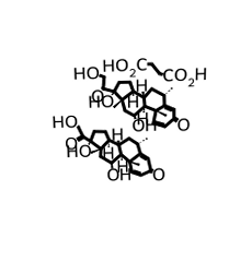 C[C@H]1C[C@@H]2[C@H]([C@@H](O)C[C@@]3(C)[C@H]2CC[C@]3(O)C(=O)CO)[C@@]2(C)C=CC(=O)C=C12.C[C@H]1C[C@@H]2[C@H]([C@@H](O)C[C@@]3(C)[C@H]2CC[C@]3(O)C(=O)CO)[C@@]2(C)C=CC(=O)C=C12.O=C(O)CCC(=O)O